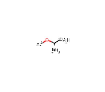 CC(=O)OCC(=O)O.[InH3]